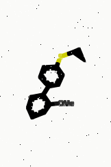 COc1ccc[c]c1-c1ccc(SC2CC2)cc1